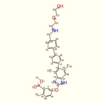 COC(=O)c1cc(Oc2nc3c(F)c(-c4ccc(-c5ccc(CNCCOCCO)cc5)cc4)c(F)cc3[nH]2)ccc1C